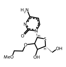 COCCOC1C(O)[C@@H](CO)S[C@H]1n1ccc(N)nc1=O